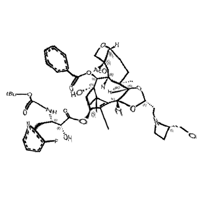 COC[C@@H]1CCN1C[C@@H]1O[C@@H]2C3=C(C)[C@@H](OC(=O)[C@H](O)[C@@H](NC(=O)OC(C)(C)C)c4ncccc4F)C[C@@](O)([C@@H](OC(=O)c4ccccc4)[C@H]4[C@@](C)(CC[C@H]5OC[C@]54OC(C)=O)[C@@H]2O1)C3(C)C